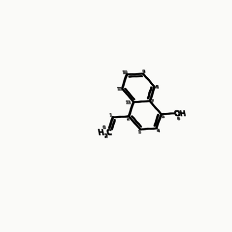 C=Cc1ccc(O)c2ccccc12